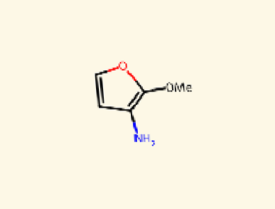 [CH2]Oc1occc1N